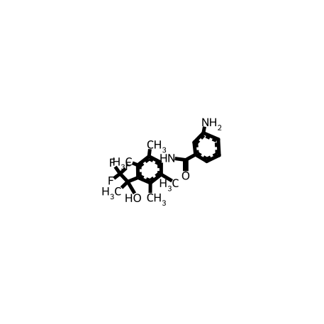 Cc1c(C)c(C(C)(O)C(F)(F)F)c(C)c(C)c1NC(=O)c1cccc(N)c1